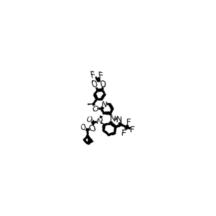 C[C@H](Oc1cc(-n2nc(C(F)(F)F)c3c2[C@H](N(C)C(=O)OC(=O)C24CC(C2)C4)CCC3)ccn1)c1ccc2c(c1)OC(F)(F)O2